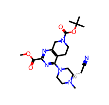 COC(=O)c1nc2c(c(N3CCN(C)[C@@H](CC#N)C3)n1)CCN(C(=O)OC(C)(C)C)C2